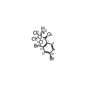 [NH2][Cr]([Cl])([Cl])([Cl])[C](=O)c1ccc(Br)cc1Br